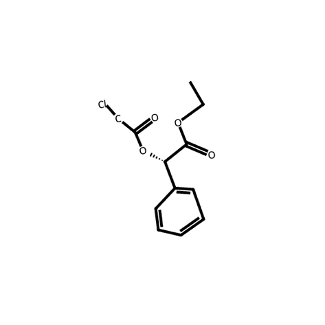 CCOC(=O)[C@@H](OC(=O)CCl)c1ccccc1